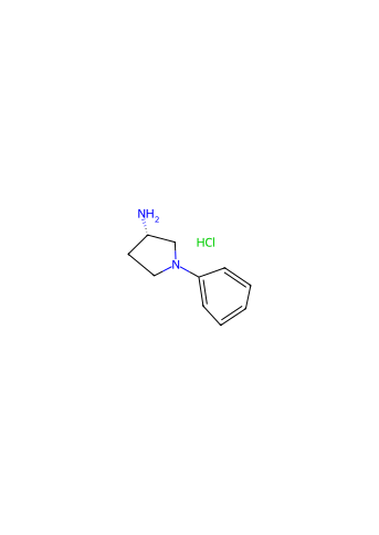 Cl.N[C@H]1CCN(c2ccccc2)C1